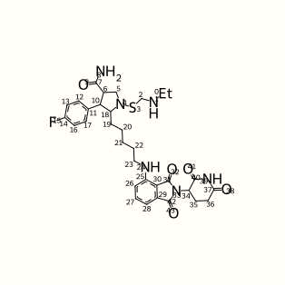 CCNCSN1CC(C(N)=O)C(c2ccc(F)cc2)C1CCCCCNc1cccc2c1C(=O)N(C1CCC(=O)NC1=O)C2=O